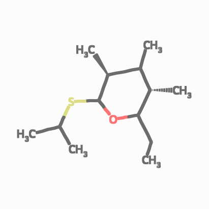 CCC1OC(SC(C)C)[C@@H](C)C(C)[C@@H]1C